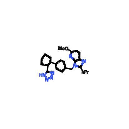 CCCc1nc2ccc(OC)nc2n1Cc1ccc(-c2ccccc2-c2nnn[nH]2)cc1